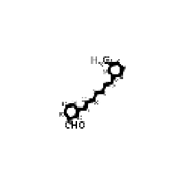 CC1CCCC(CCCCCCCC2CCCC(C=O)C2)C1